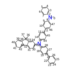 CN(c1ccccc1)c1ccc(-c2ccc(N(c3ccc(-c4ccccc4)cc3)c3ccc4c(c3)C(C)(C)c3ccccc3-4)cc2)cc1